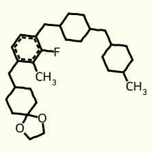 Cc1c(CC2CCC3(CC2)OCCO3)ccc(CC2CCC(CC3CCC(C)CC3)CC2)c1F